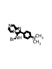 CN(C)c1ccc(-c2nc3cnccn3c2NBr)cc1